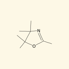 CC1=NC(C)(C)C(C)(C)O1